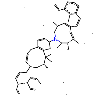 C=Cc1cccc(/C=C\C2=CC(C)CN(C3C=CC4=C(C3)C(C)(C)[C@@H](C)CC(C/C=C\C(C=C)C(C=C)/C=C\C)/C=C\C4)C(C)C(C)/C(C)=C/2)c1C